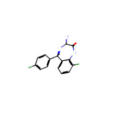 NC1N=C(c2ccc(Cl)cc2)c2cccc(Br)c2NC1=O